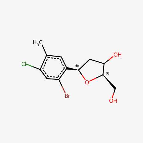 Cc1cc([C@H]2CC(O)[C@@H](CO)O2)c(Br)cc1Cl